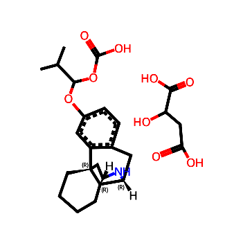 CC(C)C(OC(=O)O)Oc1ccc2c(c1)[C@@]13CCCC[C@H]1[C@@H](C2)NCC3.O=C(O)CC(O)C(=O)O